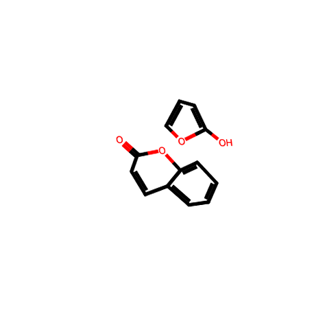 O=c1ccc2ccccc2o1.Oc1ccco1